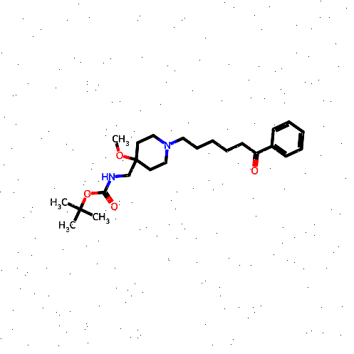 COC1(CNC(=O)OC(C)(C)C)CCN(CCCCCC(=O)c2ccccc2)CC1